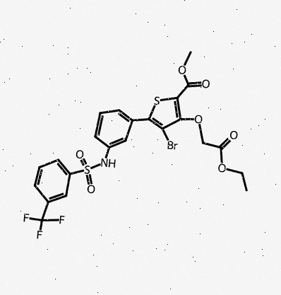 CCOC(=O)COc1c(C(=O)OC)sc(-c2cccc(NS(=O)(=O)c3cccc(C(F)(F)F)c3)c2)c1Br